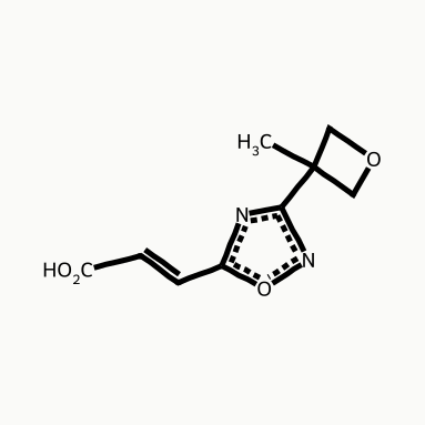 CC1(c2noc(C=CC(=O)O)n2)COC1